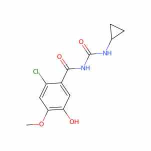 COc1cc(Cl)c(C(=O)NC(=O)NC2CC2)cc1O